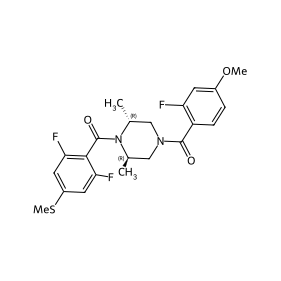 COc1ccc(C(=O)N2C[C@@H](C)N(C(=O)c3c(F)cc(SC)cc3F)[C@H](C)C2)c(F)c1